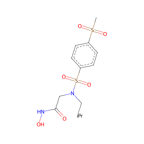 CC(C)CN(CC(=O)NO)S(=O)(=O)c1ccc(S(C)(=O)=O)cc1